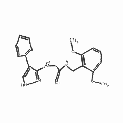 COc1cccc(OC)c1CNC(=N)Nc1n[nH]cc1-c1ccccc1